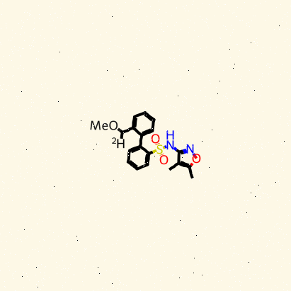 [2H]C(OC)c1ccccc1-c1ccccc1S(=O)(=O)Nc1noc(C)c1C